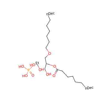 CCCCCCCCCCCCCCCCOCC(CO)OC(=O)CCCCCCCCCCCCCCC.CCO.O=P(O)(O)O